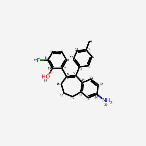 Cc1ccc(C2=C(c3cccc(F)c3O)CCCc3cc(N)ccc32)cc1